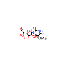 COc1cn([C@]2(C)O[C@H](C(O)=C=O)[C@@H](O)[C@H]2O)c(=O)[nH]c1=O